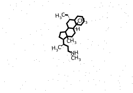 CC[C@H]1CC2C3CCC([C@H](C)CCNC)C3(C)CC[C@@H]2C2(C)CCCCC12